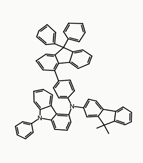 CC1(C)c2ccccc2-c2ccc(N(c3ccc(-c4cccc5c4-c4ccccc4C5(c4ccccc4)c4ccccc4)cc3)c3cccc4c3c3ccccc3n4-c3ccccc3)cc21